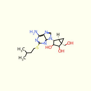 CC(C)CCSc1nc(N)c2ncn([C@H]3C(O)C(O)[C@]4(CO)C[C@H]34)c2n1